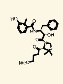 COCCCC(=O)[C@H]1N(C(=O)[C@@H](O)[C@H](Cc2ccccc2)NC(=O)c2cccc(O)c2C)CSC1(C)C